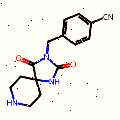 N#Cc1ccc(CN2C(=O)NC3(CCNCC3)C2=O)cc1